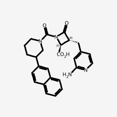 Nc1cc(C[C@H]2C(=O)N(C(=O)N3CCCC(c4ccc5ccccc5c4)C3)[C@@H]2C(=O)O)ccn1